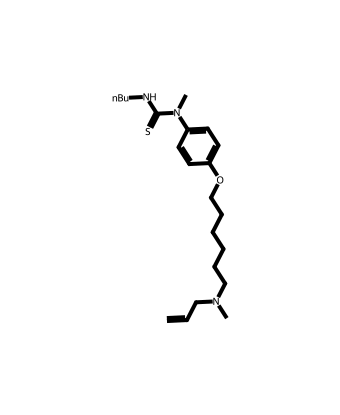 C=CCN(C)CCCCCCOc1ccc(N(C)C(=S)NCCCC)cc1